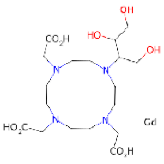 O=C(O)CN1CCN(CC(=O)O)CCN(C(CO)C(O)CO)CCN(CC(=O)O)CC1.[Gd]